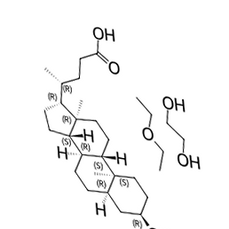 CCOCC.C[C@H](CCC(=O)O)[C@H]1CC[C@H]2[C@@H]3CC[C@@H]4C[C@H](O)CC[C@]4(C)[C@H]3CC[C@]12C.OCCO